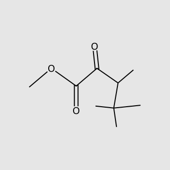 COC(=O)C(=O)C(C)C(C)(C)C